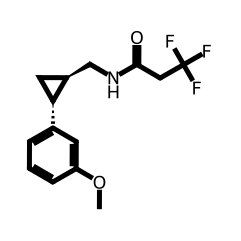 COc1cccc([C@@H]2C[C@H]2CNC(=O)CC(F)(F)F)c1